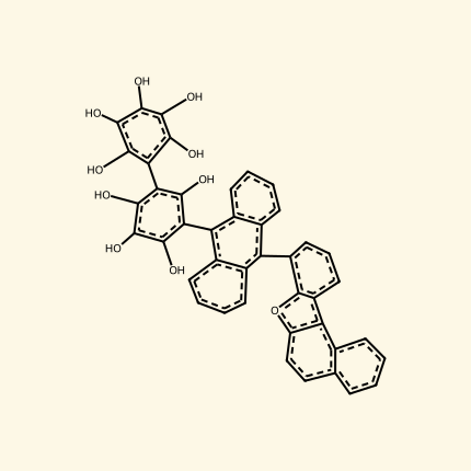 Oc1c(O)c(O)c(-c2c(O)c(O)c(O)c(-c3c4ccccc4c(-c4cccc5c4oc4ccc6ccccc6c45)c4ccccc34)c2O)c(O)c1O